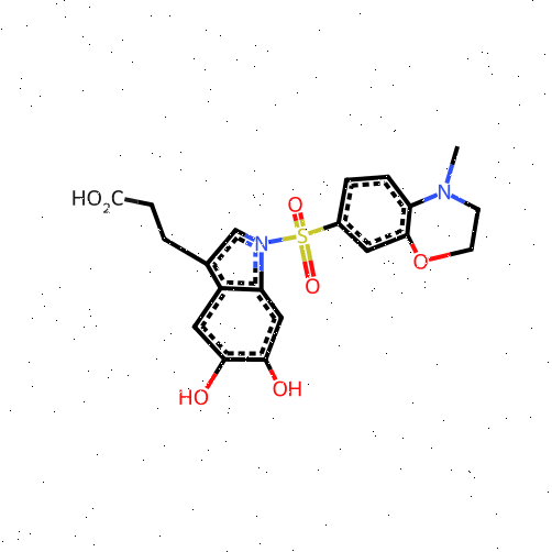 CN1CCOc2cc(S(=O)(=O)n3cc(CCC(=O)O)c4cc(O)c(O)cc43)ccc21